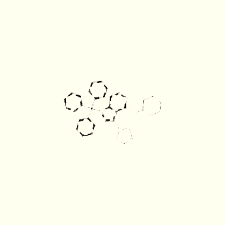 c1ccc(C(c2ccccc2)(c2ccccc2)n2nc(N3CCCC3)c3c(OC4CCCCC4)nccc32)cc1